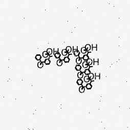 CC(C(=O)O)c1cccc(C(=O)c2ccccc2)c1.CC(C(=O)O)c1cccc(C(=O)c2ccccc2)c1.CC(C(=O)O)c1cccc(C(=O)c2ccccc2)c1.CC(C(=O)O)c1cccc(C(=O)c2ccccc2)c1.CC(C(=O)O)c1cccc(C(=O)c2ccccc2)c1